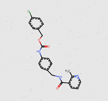 Cc1ncccc1C(=O)NCc1ccc(NC(=O)OCc2ccc(Cl)cc2)cc1